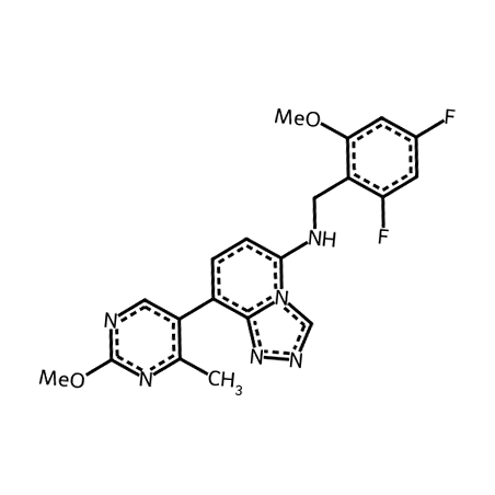 COc1ncc(-c2ccc(NCc3c(F)cc(F)cc3OC)n3cnnc23)c(C)n1